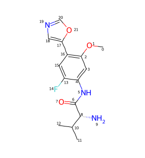 COc1cc(NC(=O)[C@H](N)C(C)C)c(F)cc1-c1cnco1